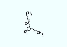 CCCCOC(=O)CC1CC(=O)CC1CCCC